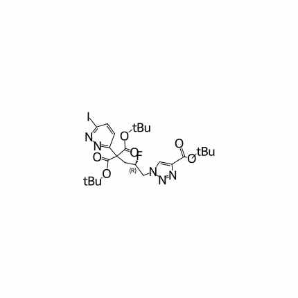 CC(C)(C)OC(=O)c1cn(C[C@H](F)CC(C(=O)OC(C)(C)C)(C(=O)OC(C)(C)C)c2ccc(I)nn2)nn1